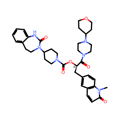 Cn1c(=O)ccc2cc(C[C@@H](OC(=O)N3CCC(N4CCc5ccccc5NC4=O)CC3)C(=O)N3CCN(C4CCOCC4)CC3)ccc21